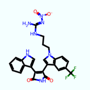 NC(=N[N+](=O)[O-])NCCCn1cc(C2=C(c3c[nH]c4ccccc34)C(=O)NC2=O)c2cc(C(F)(F)F)ccc21